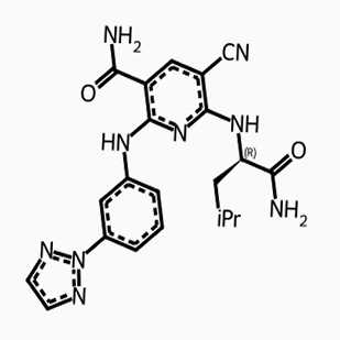 CC(C)C[C@@H](Nc1nc(Nc2cccc(-n3nccn3)c2)c(C(N)=O)cc1C#N)C(N)=O